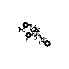 CC(C)Oc1cccc(CN2CC[C@@]3(C[C@@H]2C)C(=O)N(CCNC(=O)c2ccccc2)C(=O)N3c2cccc(F)c2)c1